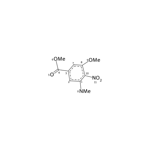 CNc1cc(C(=O)OC)cc(OC)c1[N+](=O)[O-]